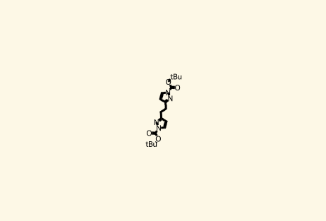 CC(C)(C)OC(=O)n1ccc(CCc2ccn(C(=O)OC(C)(C)C)n2)n1